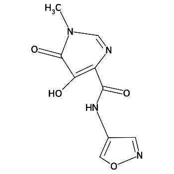 Cn1cnc(C(=O)Nc2cnoc2)c(O)c1=O